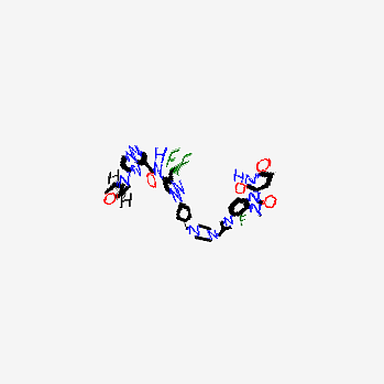 Cn1c(=O)n(C2CCC(=O)NC2=O)c2ccc(N3CC(CN4CCN(C[C@H]5CC[C@H](n6cc(NC(=O)c7cnn8ccc(N9C[C@H]%10C[C@@H]9CO%10)nc78)c(C(F)F)n6)CC5)CC4)C3)c(F)c21